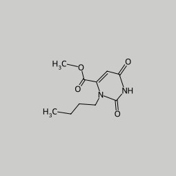 CCCCn1c(C(=O)OC)cc(=O)[nH]c1=O